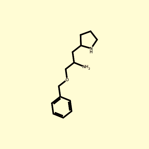 NC(COCc1ccccc1)CC1CCCN1